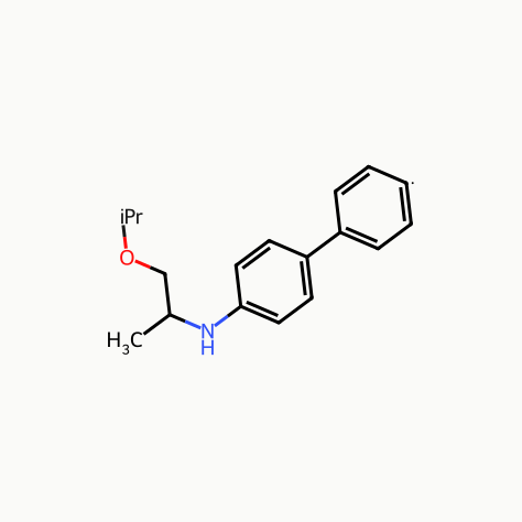 CC(COC(C)C)Nc1ccc(-c2cc[c]cc2)cc1